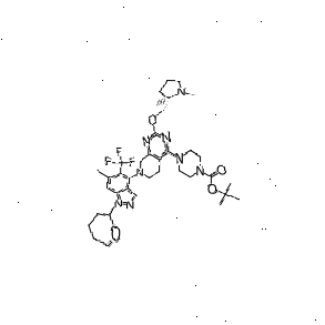 Cc1cc2c(cnn2C2CCCCO2)c(N2CCc3c(nc(OC[C@@H]4CCCN4C)nc3N3CCN(C(=O)OC(C)(C)C)CC3)C2)c1C(F)(F)F